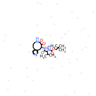 CC(C)C(NC(=O)OCC(C)(C)C)C(=O)NC1Cc2cnccc2CCCNC(=O)C1=O